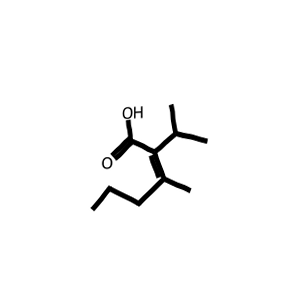 CCCC(C)=C(C(=O)O)C(C)C